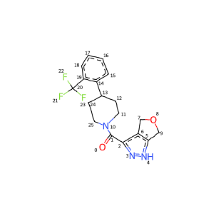 O=C(c1n[nH]c2c1COC2)N1CCC(c2ccccc2C(F)(F)F)CC1